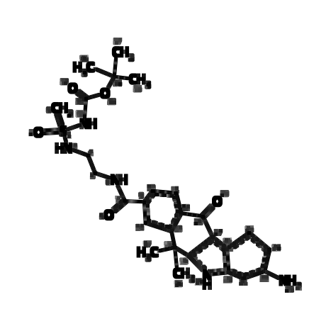 C=S(=O)(NCCNC(=O)c1ccc2c(c1)C(C)(C)c1[nH]c3cc(N)ccc3c1C2=O)NC(=O)OC(C)(C)C